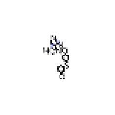 C=N/C=c1/nc(Oc2ccc(Sc3cccc(OC)c3)cc2)nc(O)/c1=C/C